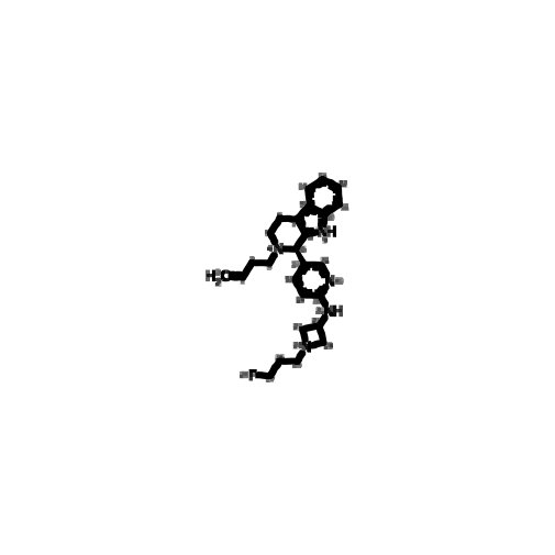 C=CCCN1CCc2c([nH]c3ccccc23)[C@H]1c1ccc(NC2CN(CCCF)C2)nc1